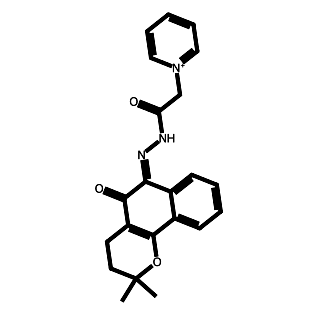 CC1(C)CCC2=C(O1)c1ccccc1/C(=N\NC(=O)C[n+]1ccccc1)C2=O